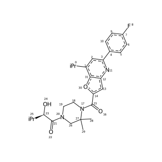 CC(C)c1cc(-c2ccc(F)cc2)nc2cc(C(=O)N3CCN(C(=O)[C@H](O)C(C)C)CC3(C)C)oc12